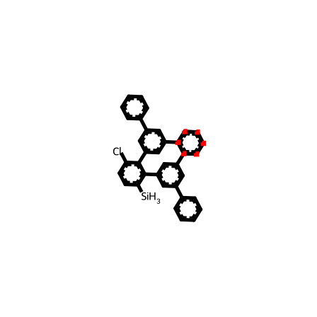 [SiH3]c1ccc(Cl)c(-c2cc(-c3ccccc3)cc(-c3ccccc3)c2)c1-c1cc(-c2ccccc2)cc(-c2ccccc2)c1